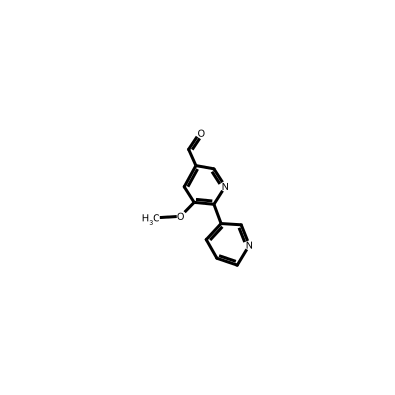 COc1cc(C=O)cnc1-c1cccnc1